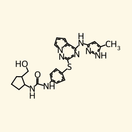 Cc1cc(Nc2nc(Sc3ccc(NC(=O)NC4CCCC4CO)cc3)nn3cccc23)n[nH]1